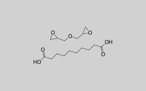 C(OCC1CO1)C1CO1.O=C(O)CCCCCCCCC(=O)O